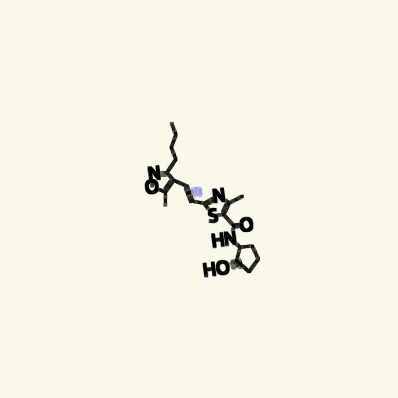 CCCCc1noc(C)c1/C=C/c1nc(C)c(C(=O)NC2CCC[C@@H]2O)s1